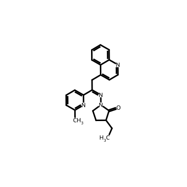 CCC1CCN(N=C(Cc2ccnc3ccccc23)c2cccc(C)n2)C1=O